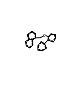 [c]1cccc(-c2ccccc2)c1OCc1cccc2ccccc12